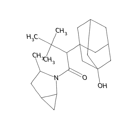 CC1CC2CC2N1C(=O)C(C(C)(C)C)C12CC3CC(CC(O)(C3)C1)C2